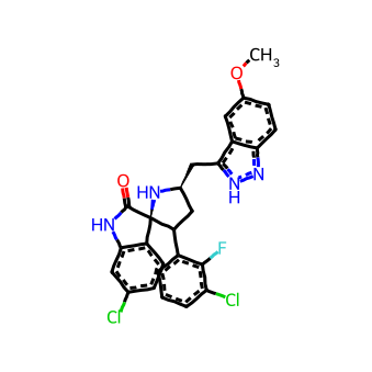 COc1ccc2n[nH]c(C[C@H]3CC(c4cccc(Cl)c4F)[C@@]4(N3)C(=O)Nc3cc(Cl)ccc34)c2c1